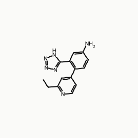 CCc1cc(-c2ccc(N)cc2-c2nnn[nH]2)ccn1